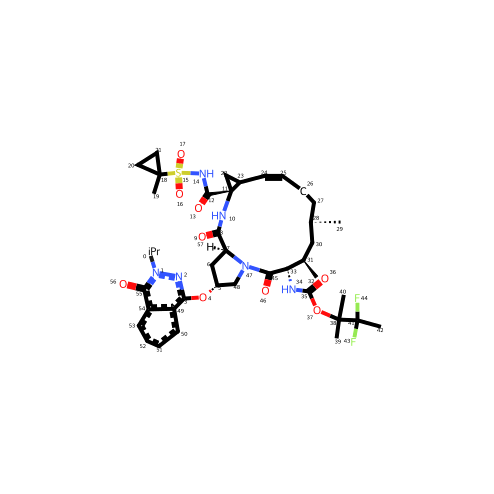 CC(C)n1nc(O[C@@H]2C[C@H]3C(=O)N[C@]4(C(=O)NS(=O)(=O)C5(C)CC5)CC4/C=C\CC[C@H](C)C[C@@H](C)[C@H](NC(=O)OC(C)(C)C(C)(F)F)C(=O)N3C2)c2ccccc2c1=O